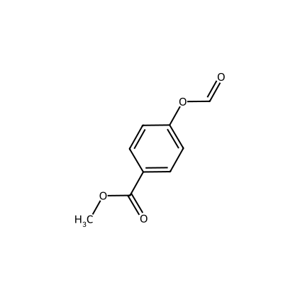 COC(=O)c1ccc(OC=O)cc1